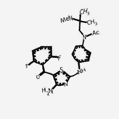 CNC(C)(C)CN(C(C)=O)c1ccc(Nc2nc(N)c(C(=O)c3c(F)cccc3F)s2)cc1